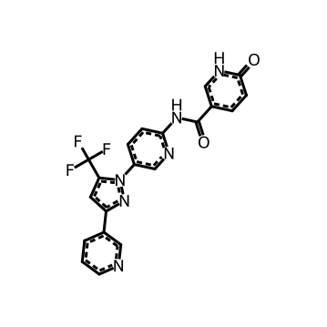 O=C(Nc1ccc(-n2nc(-c3cccnc3)cc2C(F)(F)F)cn1)c1ccc(=O)[nH]c1